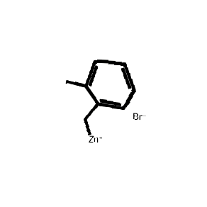 Cc1ccccc1[CH2][Zn+].[Br-]